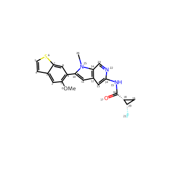 COc1cc2ccsc2cc1-c1cc2cc(NC(=O)[C@@H]3C[C@@H]3F)ncc2n1C